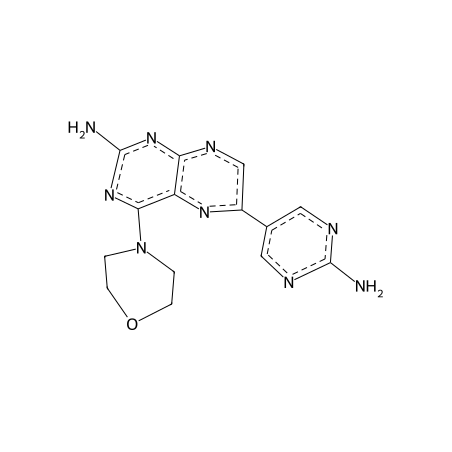 Nc1ncc(-c2cnc3nc(N)nc(N4CCOCC4)c3n2)cn1